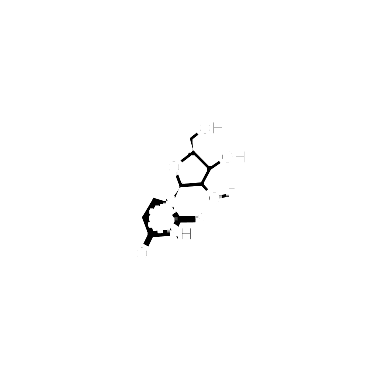 O=c1ccn([C@H]2O[C@@H](CO)C(O)C2OF)c(=S)[nH]1